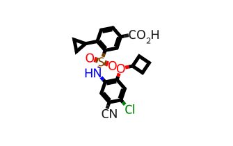 N#Cc1cc(NS(=O)(=O)c2cc(C(=O)O)ccc2C2CC2)c(OC2CCC2)cc1Cl